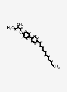 CCCCCCCCCCCc1ccc(-c2ccc(OCC(C)CC)cc2)nn1